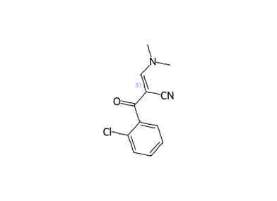 CN(C)/C=C(\C#N)C(=O)c1ccccc1Cl